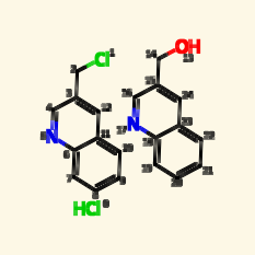 Cl.ClCc1cnc2ccccc2c1.OCc1cnc2ccccc2c1